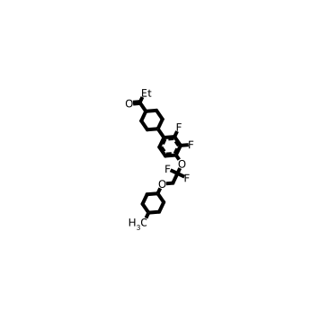 CCC(=O)C1CCC(c2ccc(OC(F)(F)COC3CCC(C)CC3)c(F)c2F)CC1